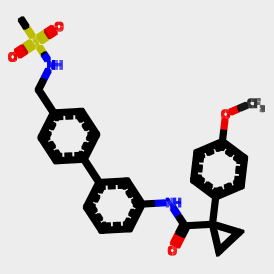 CS(=O)(=O)NCc1ccc(-c2cccc(NC(=O)C3(c4ccc(OC(F)(F)F)cc4)CC3)c2)cc1